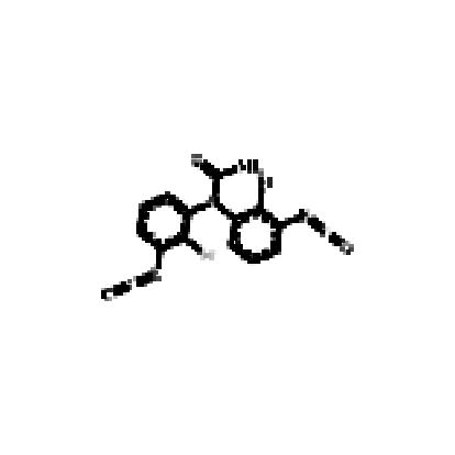 CCc1c(N=C=O)cccc1N(C(N)=O)c1cccc(N=C=O)c1CC